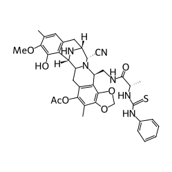 COc1c(C)cc2c(c1O)[C@@H]1N[C@H](C2)[C@H](C#N)N2C1Cc1c(OC(C)=O)c(C)c3c(c1[C@@H]2CNC(=O)[C@H](C)NC(=S)Nc1ccccc1)OCO3